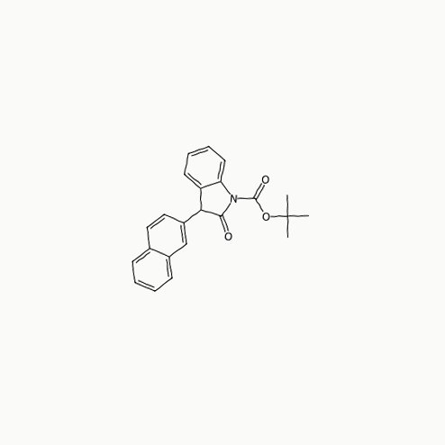 CC(C)(C)OC(=O)N1C(=O)C(c2ccc3ccccc3c2)c2ccccc21